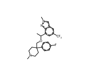 CC(OCC1(c2ccc(F)cc2)CCN(C)CC1)c1cc(C(F)(F)F)cc2cn(C)nc12